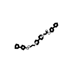 O=C(CC[n+]1ccc(-c2cc[n+](CCCOOc3ccc(-c4ccccc4)cc3)cc2)cc1)Oc1ccc(-c2ccccc2)cc1